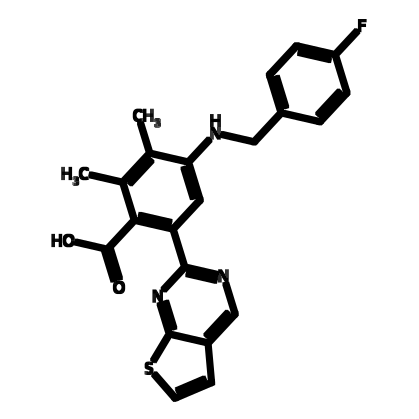 Cc1c(NCc2ccc(F)cc2)cc(-c2ncc3ccsc3n2)c(C(=O)O)c1C